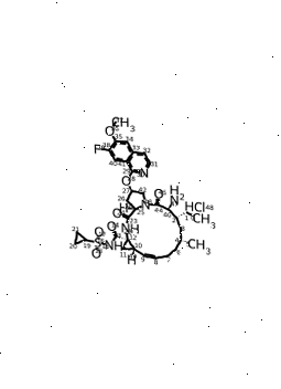 CC[C@@H]1C[C@H](C)CCC=C[C@@H]2C[C@@]2(C(=O)NS(=O)(=O)C2CC2)NC(=O)[C@@H]2C[C@@H](Oc3nccc4cc(OC)c(F)cc34)CN2C(=O)[C@H]1N.Cl